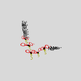 [Na+].[Na+].[Na+].[Na+].[Na+].[Na+].[Na+].[Na+].[Na+].[Na+].[O-]C([O-])=S.[O-]C([O-])=S.[O-]C([O-])=S.[O-]C([O-])=S.[O-]C([O-])=S